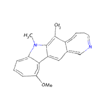 COc1cccc2c1c1cc3cnccc3c(C)c1n2C